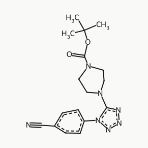 CC(C)(C)OC(=O)N1CCN(c2nnnn2-c2ccc(C#N)cc2)CC1